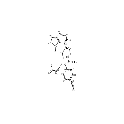 CC(C)NCC(C(=O)N1CCN(c2ncnc3c2C(C)CC3)CC1)c1ccc(C#N)cc1